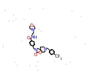 O=C(NCCN1CCOCC1)c1ccc(CN2CC3(CCN(Cc4ccc(C(F)(F)F)cc4)CC3)OC2=O)cc1